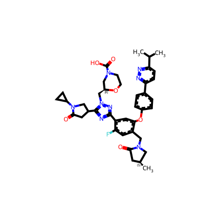 CC(C)c1ccc(-c2ccc(Oc3cc(-c4nc(C5CC(=O)N(C6CC6)C5)n(C[C@H]5CN(C(=O)O)CCO5)n4)c(F)cc3CN3C[C@@H](C)CC3=O)cc2)nn1